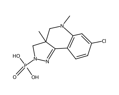 CN1CC2(C)CN(P(=O)(O)O)N=C2c2ccc(Cl)cc21